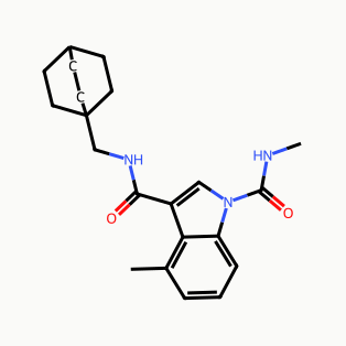 CNC(=O)n1cc(C(=O)NCC23CCC(CC2)CC3)c2c(C)cccc21